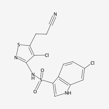 N#CCCc1snc(NS(=O)(=O)c2c[nH]c3cc(Cl)ccc23)c1Cl